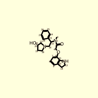 CN(C(=O)COc1cccc2c1NCC2)C(CN1CC[C@H](O)C1)c1ccccc1